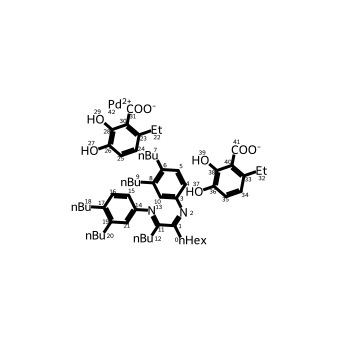 CCCCCCC(=Nc1ccc(CCCC)c(CCCC)c1)C(CCCC)=Nc1ccc(CCCC)c(CCCC)c1.CCc1ccc(O)c(O)c1C(=O)[O-].CCc1ccc(O)c(O)c1C(=O)[O-].[Pd+2]